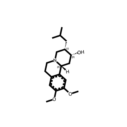 COc1cc2c(cc1OC)[C@H]1C[C@@H](O)[C@@H](CC(C)C)CN1CC2